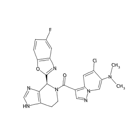 CN(C)c1cn2ncc(C(=O)N3CCc4[nH]cnc4[C@H]3c3nc4cc(F)ccc4o3)c2cc1Cl